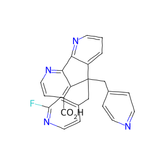 O=C(O)c1ccnc2c1C(Cc1ccncc1)(Cc1ccnc(F)c1)c1cccnc1-2